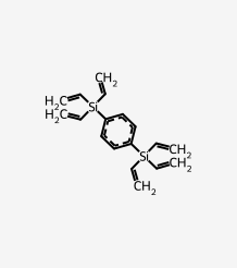 C=C[Si](C=C)(C=C)c1ccc([Si](C=C)(C=C)C=C)cc1